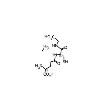 N[C@@H](CCC(=O)N[C@@H](CS)C(=O)NCC(=O)O)C(=O)O.[CH3][Hg]